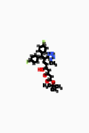 Cn1nnnc1C(C=C[C@@H](O)CC(=O)CC(=O)OC(C)(C)C)=C(c1ccc(F)cc1)c1ccc(F)cc1